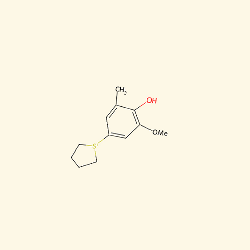 COc1cc([S+]2CCCC2)cc(C)c1O